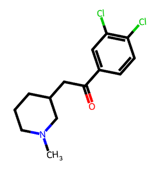 CN1CCCC(CC(=O)c2ccc(Cl)c(Cl)c2)C1